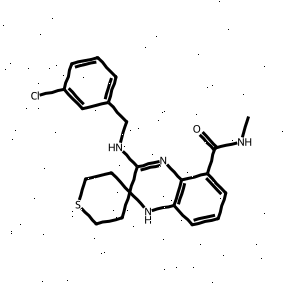 CNC(=O)c1cccc2c1N=C(NCc1cccc(Cl)c1)C1(CCSCC1)N2